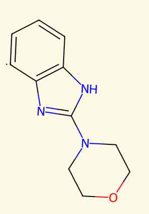 [c]1cccc2[nH]c(N3CCOCC3)nc12